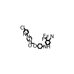 N#Cc1ccc(NC2CCC(OCC(=O)N3CCN(c4ccc(Cl)cn4)CC3)CC2)cc1C(F)(F)F